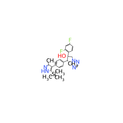 Cc1n[nH]c([Si](C)(C)C)c1-c1ccc([C@H](C)[C@](O)(Cn2cncn2)c2ccc(F)cc2F)cc1